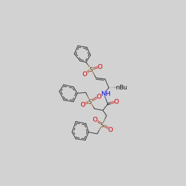 CCCC[C@@H](/C=C/S(=O)(=O)c1ccccc1)NC(=O)C(CS(=O)(=O)Cc1ccccc1)CS(=O)(=O)Cc1ccccc1